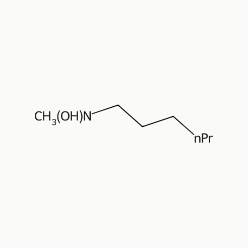 [CH2]N(O)CCCCCC